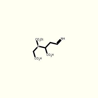 CCOC(=O)N(CC(=O)O)C(CC=N)C(=O)O